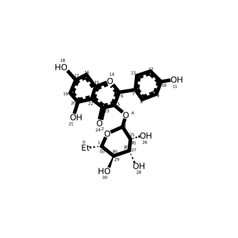 CC[C@@H]1OC(Oc2c(-c3ccc(O)cc3)oc3cc(O)cc(O)c3c2=O)[C@H](O)[C@H](O)[C@H]1O